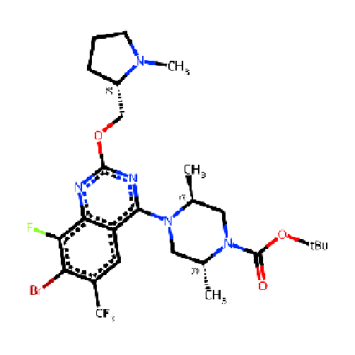 C[C@@H]1CN(c2nc(OC[C@@H]3CCCN3C)nc3c(F)c(Br)c(C(F)(F)F)cc23)[C@@H](C)CN1C(=O)OC(C)(C)C